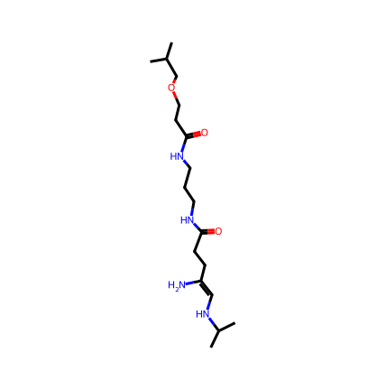 CC(C)COCCC(=O)NCCCNC(=O)CC/C(N)=C/NC(C)C